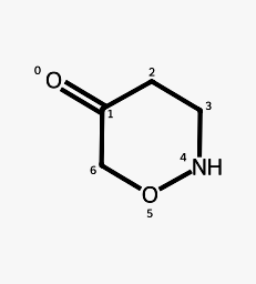 O=C1CCNOC1